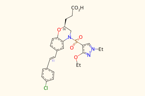 CCOc1nn(CC)cc1S(=O)(=O)N1C[C@H](CCC(=O)O)Oc2ccc(/C=C/c3ccc(Cl)cc3)cc21